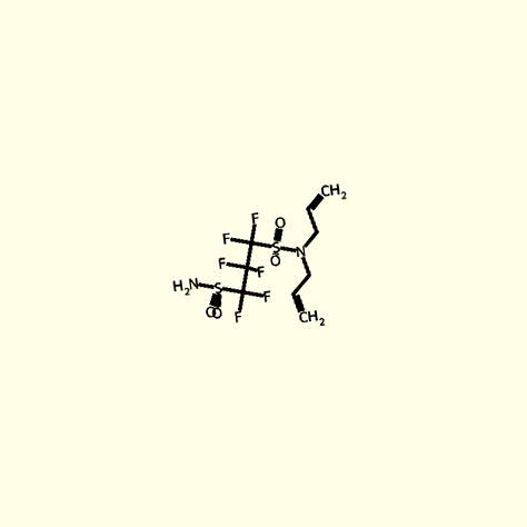 C=CCN(CC=C)S(=O)(=O)C(F)(F)C(F)(F)C(F)(F)S(N)(=O)=O